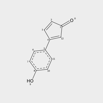 O=C1C=CC(c2ccc(O)cc2)=C1